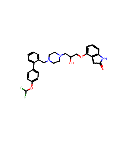 O=C1Cc2c(cccc2OCC(O)CN2CCN(Cc3ccccc3-c3ccc(OC(F)F)cc3)CC2)N1